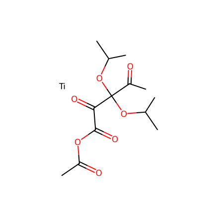 CC(=O)OC(=O)C(=O)C(OC(C)C)(OC(C)C)C(C)=O.[Ti]